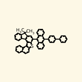 CC1(C)c2ccccc2-c2c1cc(-c1c3ccccc3c(-c3ccc(-c4ccccc4)cc3)c3ccccc13)c1sc3ccc4ccccc4c3c21